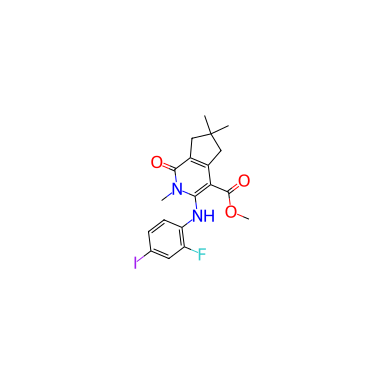 COC(=O)c1c2c(c(=O)n(C)c1Nc1ccc(I)cc1F)CC(C)(C)C2